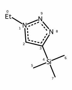 [CH2]Cn1cc([Si](C)(C)C)nn1